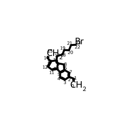 C=Cc1ccc2c(c1)Cc1c-2ccc(C=C)c1CCCCCCBr